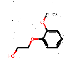 CCCCCCOc1ccccc1OCCO